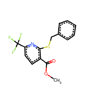 COC(=O)c1ccc(C(F)(F)F)nc1SCc1ccccc1